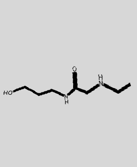 CCNCC(=O)NCCCO